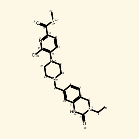 CCN1Cc2ccc(CN3CCN(c4ccc(C(=O)NC)nc4Cl)CC3)cc2NC1=O